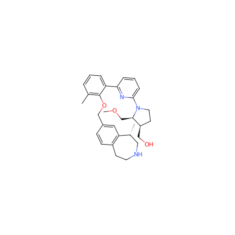 COC[C@@H]1[C@H](CO)CCN1c1cccc(-c2cccc(C)c2OCc2ccc3c(c2)[C@H](C)CNCC3)n1